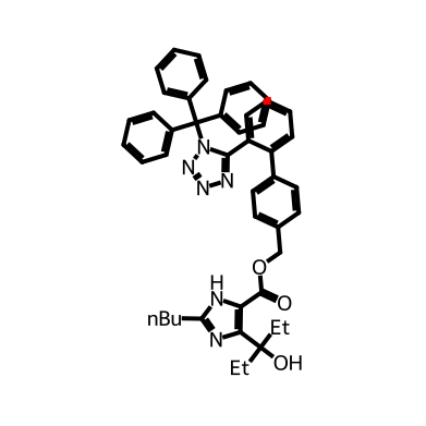 CCCCc1nc(C(O)(CC)CC)c(C(=O)OCc2ccc(-c3ccccc3-c3nnnn3C(c3ccccc3)(c3ccccc3)c3ccccc3)cc2)[nH]1